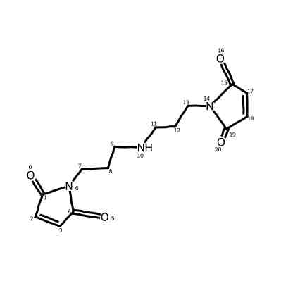 O=C1C=CC(=O)N1CCCNCCCN1C(=O)C=CC1=O